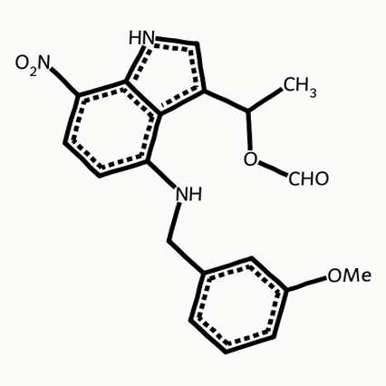 COc1cccc(CNc2ccc([N+](=O)[O-])c3[nH]cc(C(C)OC=O)c23)c1